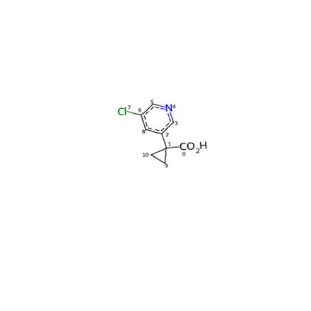 O=C(O)C1(c2cncc(Cl)c2)CC1